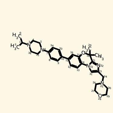 CC(C)N1CCN(c2ccc(-c3ccc4c(c3)OC(C)(C)c3nc(CN5CCOCC5)cn3-4)cc2)CC1